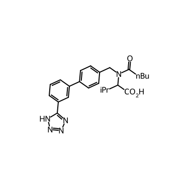 CCCCC(=O)N(Cc1ccc(-c2cccc(-c3nnn[nH]3)c2)cc1)C(C(=O)O)C(C)C